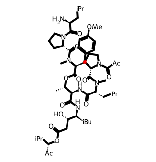 CC[C@H](C)[C@H](NC(=O)[C@H](NC(=O)[C@@H](CC(C)C)N(C)C(=O)[C@@H]1CCCN1C(=O)C(C)=O)[C@H](C)OC(=O)[C@H](Cc1ccc(OC)cc1)N(C)C(=O)[C@@H]1CCCN1C(=O)[C@@H](N)CC(C)C)[C@@H](O)CC(=O)O[C@H](C(C)=O)C(C)C